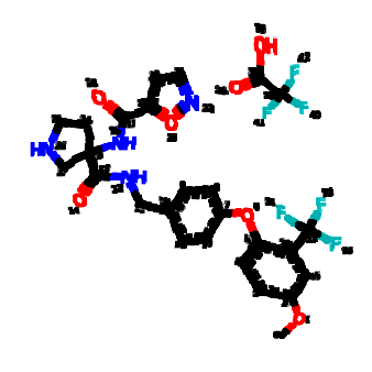 COc1ccc(Oc2ccc(CNC(=O)C3(NC(=O)c4ccno4)CCNC3)cc2)c(C(F)(F)F)c1.O=C(O)C(F)(F)F